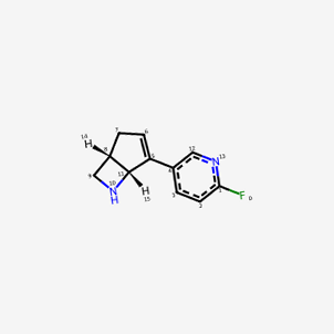 Fc1ccc(C2=CC[C@H]3CN[C@@H]23)cn1